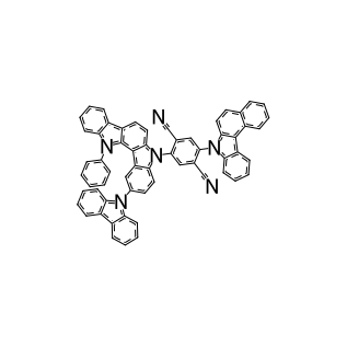 N#Cc1cc(-n2c3ccc(-n4c5ccccc5c5ccccc54)cc3c3c2ccc2c4ccccc4n(-c4ccccc4)c23)c(C#N)cc1-n1c2ccccc2c2c3ccccc3ccc21